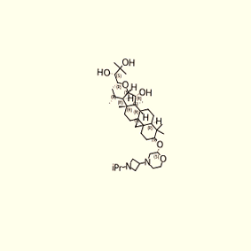 CC(C)N1CC(N2CCO[C@@H](O[C@H]3CCC45C[C@]46CC[C@]4(C)[C@@H]7[C@H](O[C@@H]([C@H](O)C(C)(C)O)C[C@H]7C)[C@H](O)[C@@]4(C)[C@@H]6CC[C@H]5C3(C)C)C2)C1